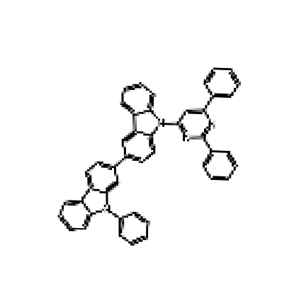 c1ccc(-c2cc(-n3c4ccccc4c4cc(-c5ccc6c7ccccc7n(-c7ccccc7)c6c5)ccc43)nc(-c3ccccc3)n2)cc1